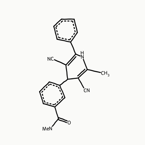 CNC(=O)c1cccc(C2C(C#N)=C(C)NC(c3ccccc3)=C2C#N)c1